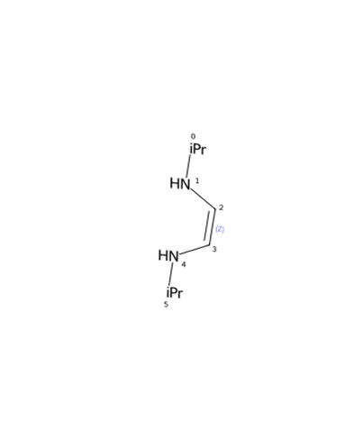 CC(C)N/C=C\NC(C)C